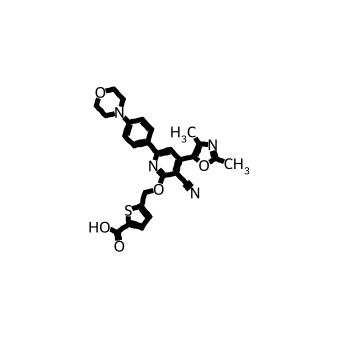 Cc1nc(C)c(-c2cc(-c3ccc(N4CCOCC4)cc3)nc(OCc3ccc(C(=O)O)s3)c2C#N)o1